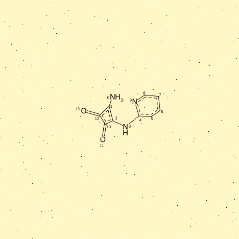 Nc1c(Nc2ccccn2)c(=O)c1=O